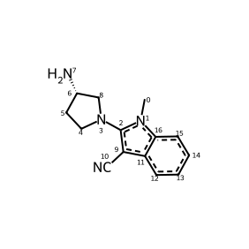 Cn1c(N2CC[C@H](N)C2)c(C#N)c2ccccc21